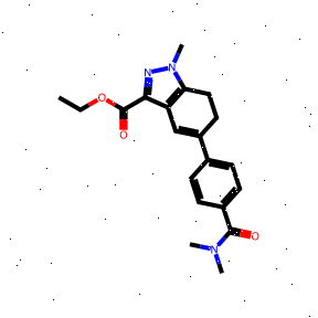 CCOC(=O)c1nn(C)c2c1C=C(c1ccc(C(=O)N(C)C)cc1)CC2